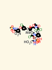 CC1(C)OC(c2ccco2)CN1C(=O)C(Cl)Cl.CCc1cccc(CC)c1N(COC)C(=O)CCl.CS(=O)(=O)NC(=O)c1cc(Oc2ccc(C(F)(F)F)cc2Cl)ccc1[N+](=O)[O-].O=C(O)CNCP(=O)(O)O